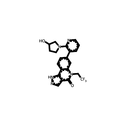 O=c1c2cn[nH]c2c2ccc(-c3cccnc3N3CCC(O)C3)cc2n1CC(F)(F)F